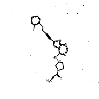 C=CC(=O)N1CC[C@@H](Nc2ncnc3[nH]c(C#CCOc4ccccc4F)nc23)C1